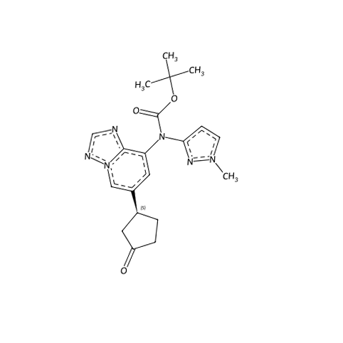 Cn1ccc(N(C(=O)OC(C)(C)C)c2cc([C@H]3CCC(=O)C3)cn3ncnc23)n1